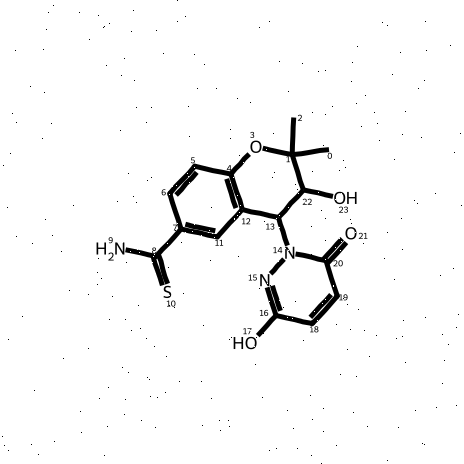 CC1(C)Oc2ccc(C(N)=S)cc2C(n2nc(O)ccc2=O)C1O